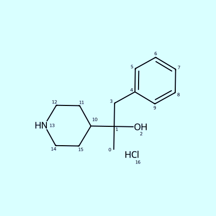 CC(O)(Cc1ccccc1)C1CCNCC1.Cl